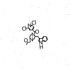 CC(=O)CN1CCN(C(=O)c2cc(Cl)nc(Cl)c2)C(Cc2c[nH]c3ccccc23)C1